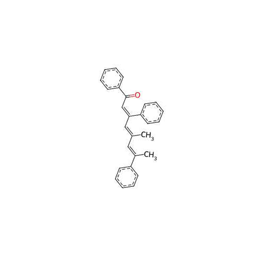 CC(=C\C(=C\C(=O)c1ccccc1)c1ccccc1)/C=C(\C)c1ccccc1